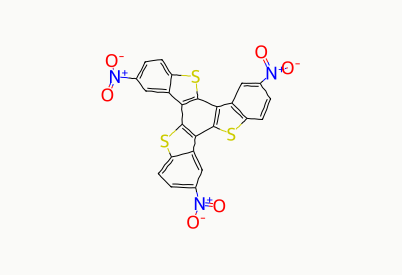 O=[N+]([O-])c1ccc2sc3c(c2c1)c1sc2ccc([N+](=O)[O-])cc2c1c1sc2ccc([N+](=O)[O-])cc2c31